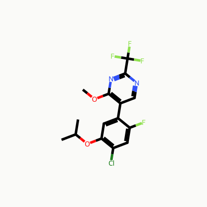 COc1nc(C(F)(F)F)ncc1-c1cc(OC(C)C)c(Cl)cc1F